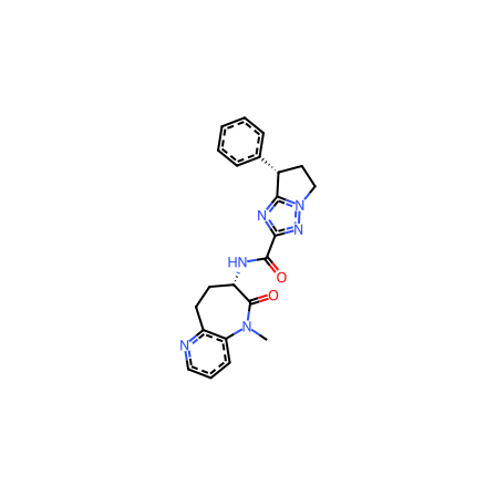 CN1C(=O)[C@@H](NC(=O)c2nc3n(n2)CC[C@H]3c2ccccc2)CCc2ncccc21